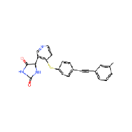 Cc1cccc(C#Cc2ccc(Sc3ccncc3C3NC(=O)NC3=O)cc2)c1